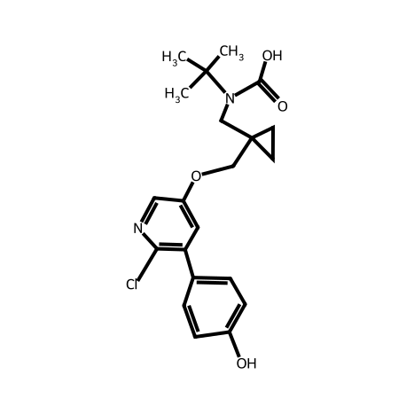 CC(C)(C)N(CC1(COc2cnc(Cl)c(-c3ccc(O)cc3)c2)CC1)C(=O)O